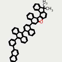 CC1(C)c2ccccc2-c2c1ccc1oc3cc(-c4ccc(-c5c6ccccc6c(-c6cccc(-c7ccc8ccccc8c7)c6)c6ccccc56)c5ccccc45)c4ccccc4c3c21